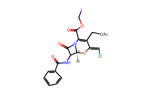 CC(=O)OCC1=C(C(=O)OCI)N2C(=O)C(NC(=O)c3ccccc3)[C@@H]2SC1=CCl